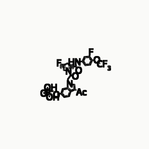 CC(=O)c1cn(CC(=O)N2C[C@H](F)C[C@H]2C(=O)Nc2ccc(OC(F)(F)F)c(F)c2)c2cc(OCP(=O)(O)O)ccc12